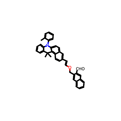 Cc1ccccc1N1c2ccccc2C(C)(C)c2c1ccc1cc(C=COCc3cc4ccccc4cc3C=O)ccc21